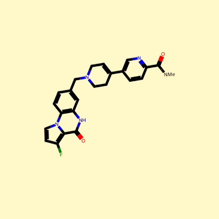 CNC(=O)c1ccc(C2=CCN(Cc3ccc4c(c3)[nH]c(=O)c3c(F)ccn34)CC2)cn1